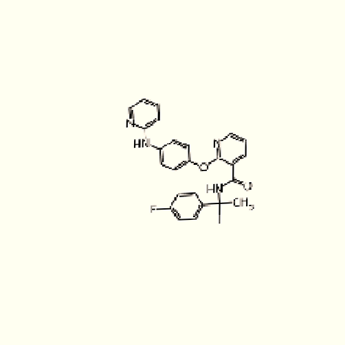 CC(I)(NC(=O)c1cccnc1Oc1ccc(Nc2ccccn2)cc1)c1ccc(F)cc1